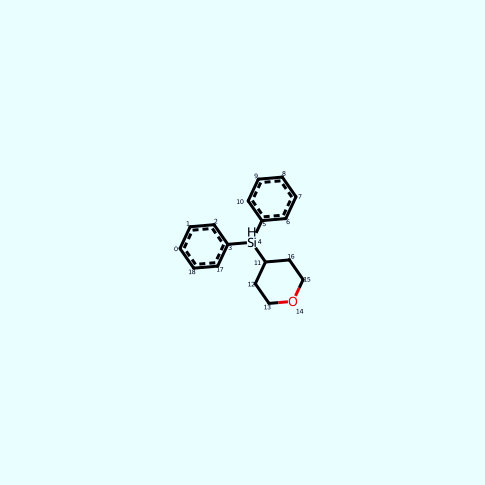 c1ccc([SiH](c2ccccc2)C2CCOCC2)cc1